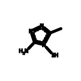 Cc1nnc(N)n1S